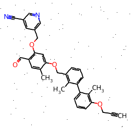 C#CCOc1cccc(-c2cccc(COc3cc(OCc4cncc(C#N)c4)c(C=O)cc3C)c2C)c1C